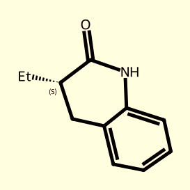 CC[C@H]1Cc2ccccc2NC1=O